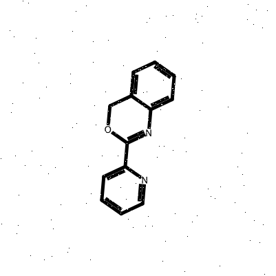 c1ccc(C2=Nc3ccccc3CO2)nc1